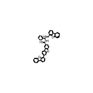 N=C(NC(NCc1cccc2c1oc1c#cccc12)C1=CC=CCC1)c1ccc2oc3cc(-c4cccc5c4oc4ccccc45)ccc3c2c1